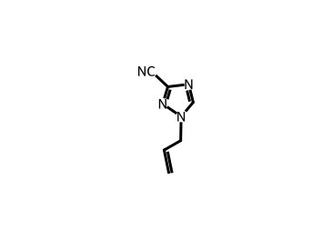 C=CCn1cnc(C#N)n1